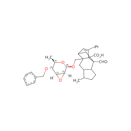 CC(C)C1=CC2CC3(C=O)C4CCC(C)C4CC2(CO[C@@H]2O[C@H](C)[C@@H](OCc4ccccc4)[C@@H]4O[C@H]24)C13C(=O)O